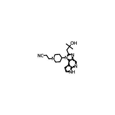 CC(C)(O)Cc1nc2cnc3[nH]ccc3c2n1C1CCN(CCC#N)CC1